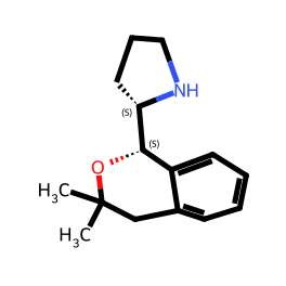 CC1(C)Cc2ccccc2[C@@H]([C@@H]2CCCN2)O1